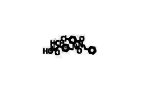 C=C(C(=O)NO)c1ccc(Cn2c(=O)n(CCc3ccccc3)c(=O)c3ccc(Cl)cc32)cc1